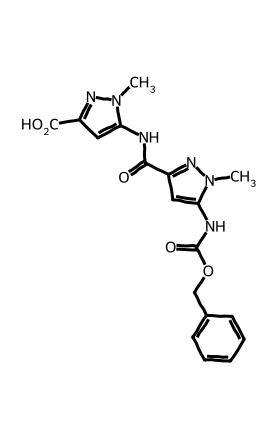 Cn1nc(C(=O)Nc2cc(C(=O)O)nn2C)cc1NC(=O)OCc1ccccc1